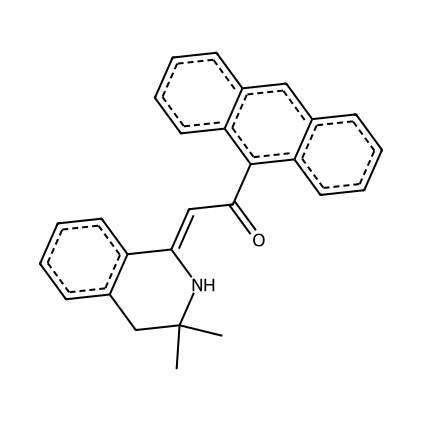 CC1(C)Cc2ccccc2C(=CC(=O)c2c3ccccc3cc3ccccc23)N1